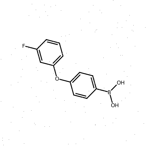 OB(O)c1ccc(Oc2cccc(F)c2)cc1